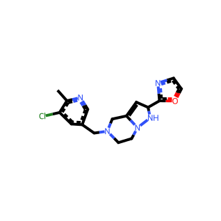 Cc1ncc(CN2CCN3NC(c4ncco4)C=C3C2)cc1Cl